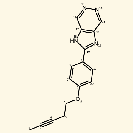 CC#CCCOc1ccc(-c2nc3cnncc3[nH]2)cc1